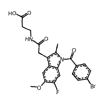 COc1cc2c(CC(=O)NCCC(=O)O)c(C)n(C(=O)c3ccc(Br)cc3)c2cc1F